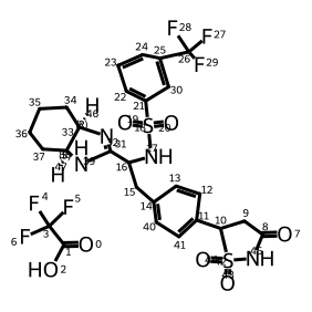 O=C(O)C(F)(F)F.O=C1CC(c2ccc(CC(NS(=O)(=O)c3cccc(C(F)(F)F)c3)C3=N[C@@H]4CCCC[C@@H]4N3)cc2)S(=O)(=O)N1